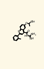 Cc1ccccc1-c1cc(C(=O)NC(=N)N)c2cc(OC(C)C(C)(C)C)ccc2n1